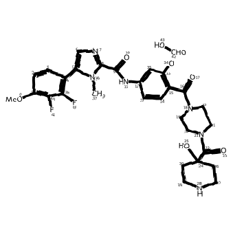 COc1ccc(-c2cnc(C(=O)Nc3ccc(C(=O)N4CCN(C(=O)C5(O)CCNCC5)CC4)c(Cl)c3)n2C)c(F)c1F.O=CO